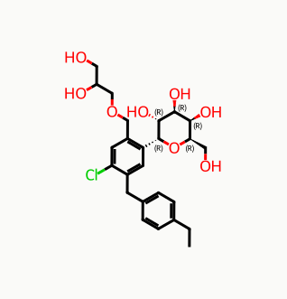 CCc1ccc(Cc2cc([C@H]3O[C@H](CO)[C@H](O)[C@H](O)[C@H]3O)c(COCC(O)CO)cc2Cl)cc1